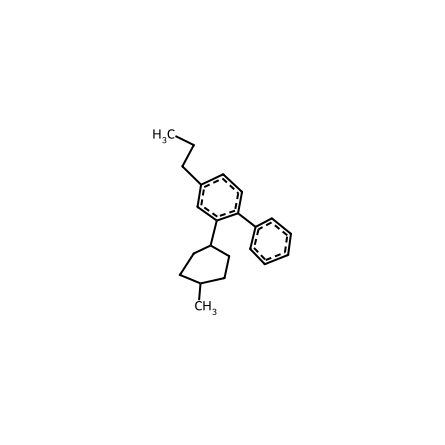 CCCc1ccc(-c2ccccc2)c(C2CCC(C)CC2)c1